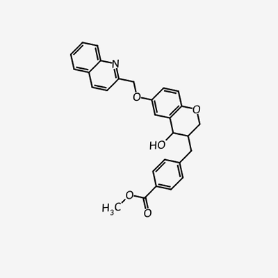 COC(=O)c1ccc(CC2COc3ccc(OCc4ccc5ccccc5n4)cc3C2O)cc1